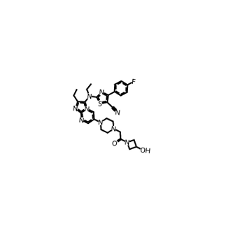 CCc1nc2ncc(N3CCN(CC(=O)N4CC(O)C4)CC3)cn2c1N(CC)c1nc(-c2ccc(F)cc2)c(C#N)s1